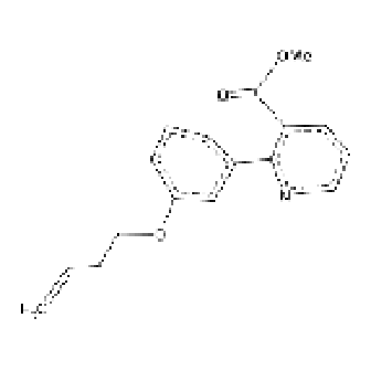 C=CCCOc1cccc(-c2ncccc2C(=O)OC)c1